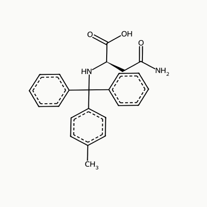 Cc1ccc(C(N[C@H](CC(N)=O)C(=O)O)(c2ccccc2)c2ccccc2)cc1